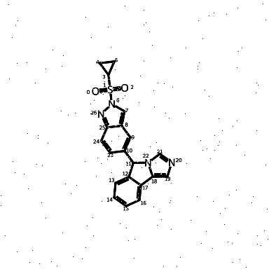 O=S(=O)(C1CC1)n1cc2cc(C3c4ccccc4-c4cncn43)ccc2n1